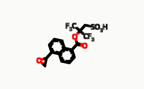 O=C(OC(CS(=O)(=O)O)(C(F)(F)F)C(F)(F)F)c1cccc2c(C3CO3)cccc12